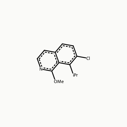 COc1nccc2ccc(Cl)c(C(C)C)c12